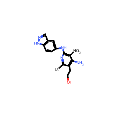 CCc1nc(Nc2ccc3[nH]ncc3c2)c([N+](=O)[O-])c(N)c1CCO